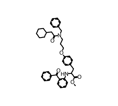 COC(=O)C(Cc1ccc(OCCCN(Cc2ccccc2)C(=O)CC2CCCCC2)cc1)Nc1ccccc1C(=O)c1ccccc1